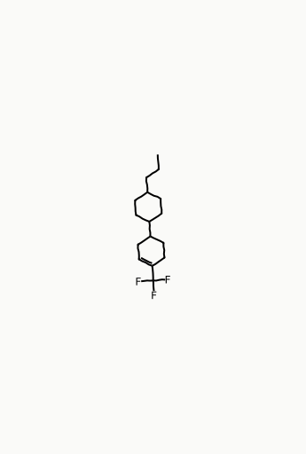 CCCC1CCC(C2CC=C(C(F)(F)F)CC2)CC1